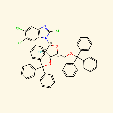 F[C@@H]1[C@H](OC(c2ccccc2)(c2ccccc2)c2ccccc2)[C@@H](COC(c2ccccc2)(c2ccccc2)c2ccccc2)O[C@H]1n1c(Cl)nc2cc(Cl)c(Cl)cc21